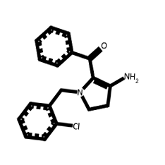 NC1=C(C(=O)c2ccccc2)N(Cc2ccccc2Cl)CC1